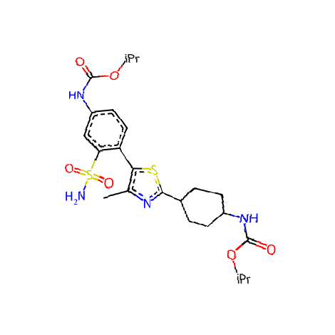 Cc1nc(C2CCC(NC(=O)OC(C)C)CC2)sc1-c1ccc(NC(=O)OC(C)C)cc1S(N)(=O)=O